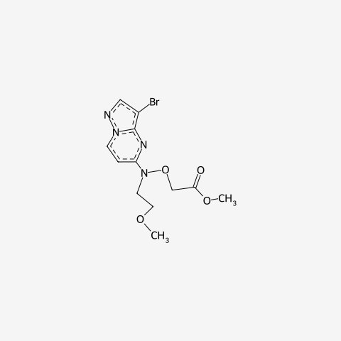 COCCN(OCC(=O)OC)c1ccn2ncc(Br)c2n1